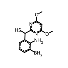 Bc1cccc(C(S)c2nc(OC)cc(OC)n2)c1N